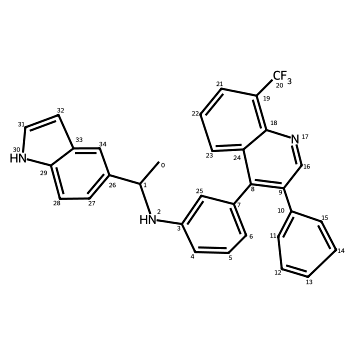 CC(Nc1cccc(-c2c(-c3ccccc3)cnc3c(C(F)(F)F)cccc23)c1)c1ccc2[nH]ccc2c1